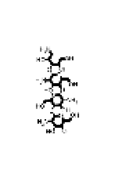 NC[C@H](O)[C@@H](O[C@@H]1OC(CO)C(O[C@H]2OC(CO)[C@H](O[C@@H]3OC(CO)C(O)[C@H](O)C3N)C(O)[C@H]2N)[C@H](O)C1N)C(O)CO